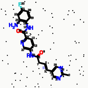 Cc1ncc(/C=C/CC(=O)Nc2ccc(C(=O)Nc3ccc(F)cc3N)nc2)cn1